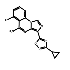 Nc1nc2c(-c3nc(C4CC4)no3)ncn2c2cccc(Cl)c12